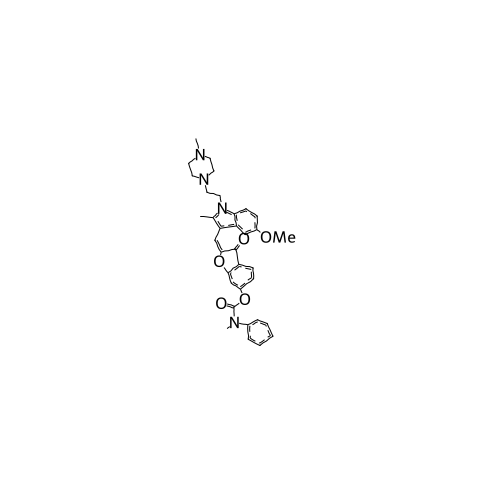 COc1ccc2c(c1)c(C=C1Oc3cc(OC(=O)N(C)c4ccccc4)ccc3C1=O)c(C)n2CCN1CCN(C)CC1